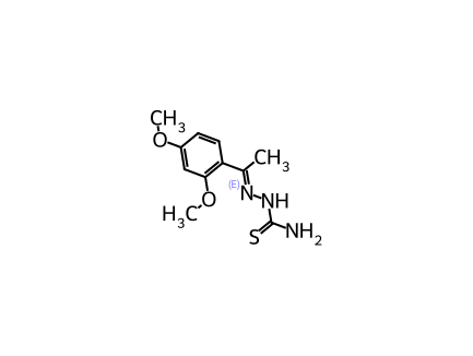 COc1ccc(/C(C)=N/NC(N)=S)c(OC)c1